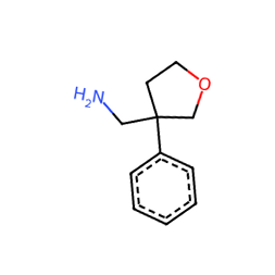 NCC1(c2ccccc2)CCOC1